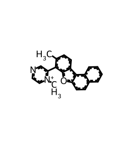 Cc1ccc2c(oc3ccc4ccccc4c32)c1-c1cncc[n+]1C